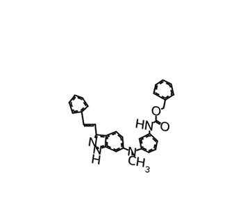 CN(c1cccc(NC(=O)OCc2ccccc2)c1)c1ccc2c(C=Cc3ccccc3)n[nH]c2c1